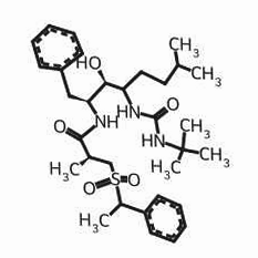 CC(C)CCC(NC(=O)NC(C)(C)C)[C@H](O)[C@H](Cc1ccccc1)NC(=O)[C@H](C)CS(=O)(=O)C(C)c1ccccc1